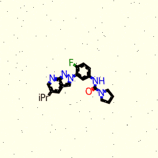 CC(C)c1cnc2nn(-c3cc(NC(=O)N4CCCC4)ccc3F)cc2c1